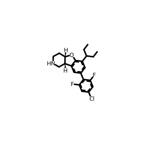 CCC(CC)c1cc(-c2c(F)cc(Cl)cc2F)cc2c1O[C@H]1CCNC[C@@H]21